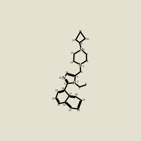 CCn1c(CN2CCN(C3CCC3)CC2)cnc1-c1cccc2ccccc12